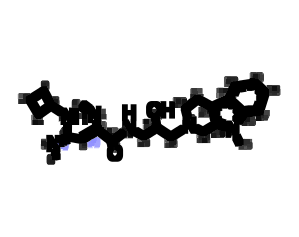 C=N/C(=C\C(=N/C)NC1CCC1)C(=O)NCC(O)CN1CCc2c(n(C)c3ccccc23)C1